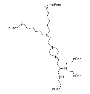 CCCCC/C=C\CCCCCN(CCCCC/C=C\CCCCC)CCN1CCN(CCC(CNCCCCCCCCCCCC)N(CCCCCCCCCCCC)CCCCCCCCCCCC)CC1